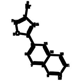 Brc1noc(-c2ccc3cnccc3c2)n1